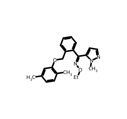 CCON=C(c1ccccc1COc1cc(C)ccc1C)c1ccnn1C